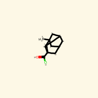 BC12CC3CC(C1)CC(C(=O)Cl)(C3)C2